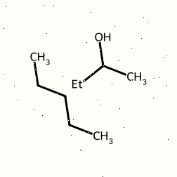 CCC(C)O.CCCCC